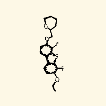 CCOc1ccc2c(sc3c(F)c(OCC4CCCCO4)ccc32)c1F